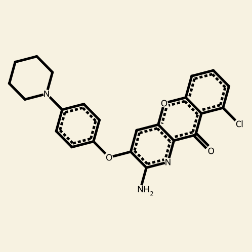 Nc1nc2c(=O)c3c(Cl)cccc3oc2cc1Oc1ccc(N2CCCCC2)cc1